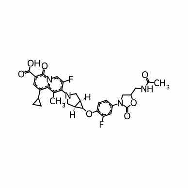 CC(=O)NCC1CN(c2ccc(OC3[C@H]4CN(c5c(F)cn6c(=O)c(C(=O)O)cc(C7CC7)c6c5C)C[C@@H]34)c(F)c2)C(=O)O1